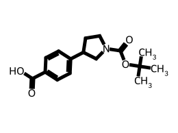 CC(C)(C)OC(=O)N1CCC(c2ccc(C(=O)O)cc2)C1